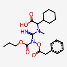 CCCOC(=O)N(OC(=O)Cc1ccccc1)C(=N)N(C)C(C(=O)O)C1CCCCC1